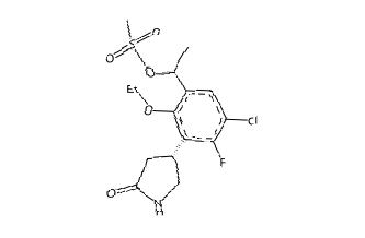 CCOc1c(C(C)OS(C)(=O)=O)cc(Cl)c(F)c1[C@@H]1CNC(=O)C1